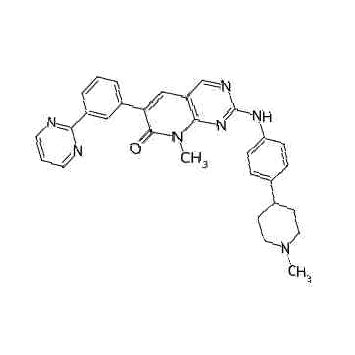 CN1CCC(c2ccc(Nc3ncc4cc(-c5cccc(-c6ncccn6)c5)c(=O)n(C)c4n3)cc2)CC1